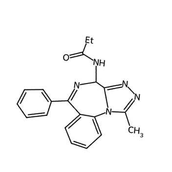 CCC(=O)NC1N=C(c2ccccc2)c2ccccc2-n2c(C)nnc21